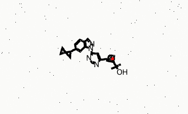 CC(C)(O)C12CC(C1)N(c1cc(-n3ncc4ccc(C5CC56CC6)cc43)ncn1)C2